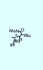 CNC(=O)C(C(=NO)SC(C)SCC(C)C)C(C)(C)C